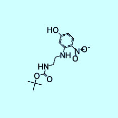 CC(C)(C)OC(=O)NCCNc1cc(O)ccc1[N+](=O)[O-]